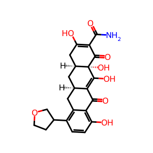 NC(=O)C1=C(O)C[C@@H]2C[C@@H]3Cc4c(C5CCOC5)ccc(O)c4C(=O)C3=C(O)[C@]2(O)C1=O